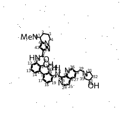 CN[C@H]1CCCn2nc(C(=O)Nc3cccc(-c4cccc(Nc5nccc6cc(CN7CC[C@@H](O)C7)cnc56)c4C)c3C)cc21